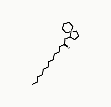 CCCCCCCCCCCC(=O)OC1CCC[N+]12CCCCC2